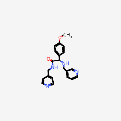 COc1ccc(C(NCc2cccnc2)C(=O)NCc2ccncc2)cc1